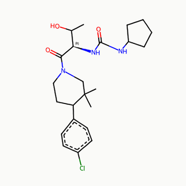 CC(O)[C@@H](NC(=O)NC1CCCC1)C(=O)N1CCC(c2ccc(Cl)cc2)C(C)(C)C1